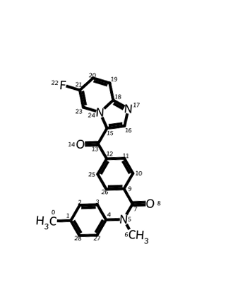 Cc1ccc(N(C)C(=O)c2ccc(C(=O)c3cnc4ccc(F)cn34)cc2)cc1